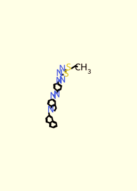 CCCSc1nnc(N=Nc2ccc(N=Nc3ccc4c(c3)CCN4Cc3ccc4ccccc4c3)cc2)s1